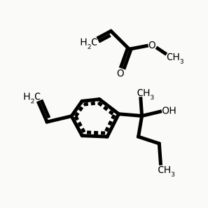 C=CC(=O)OC.C=Cc1ccc(C(C)(O)CCC)cc1